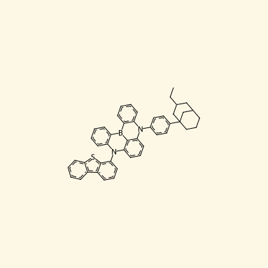 CCC1CC2CCCC(c3ccc(N4c5ccccc5B5c6ccccc6N(c6cccc7c6sc6ccccc67)c6cccc4c65)cc3)(C1)C2